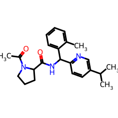 CC(=O)N1CCCC1C(=O)NC(c1ccc(C(C)C)cn1)c1ccccc1C